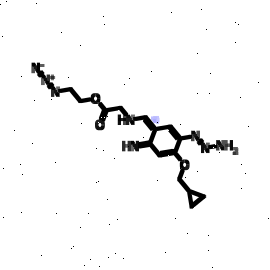 [N-]=[N+]=NCCOC(=O)CN/C=C1/C=C(N=NN)C(OCC2CC2)=CC1=N